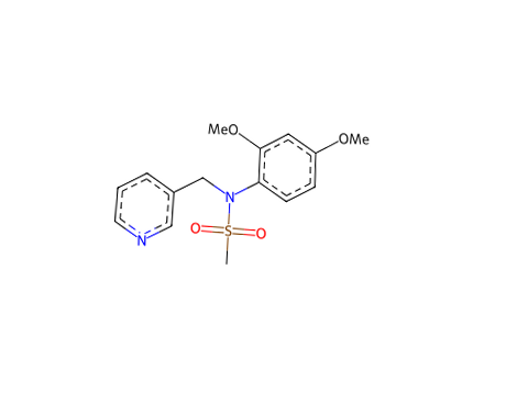 COc1ccc(N(Cc2cccnc2)S(C)(=O)=O)c(OC)c1